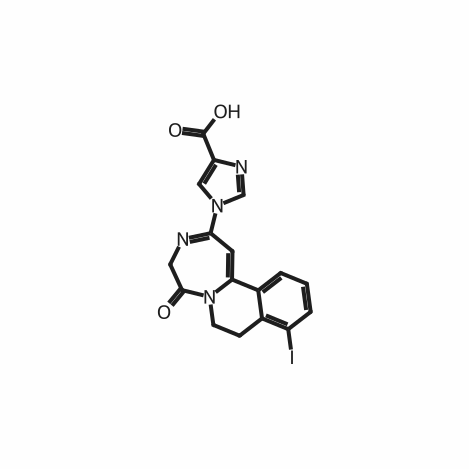 O=C(O)c1cn(C2=NCC(=O)N3CCc4c(I)cccc4C3=C2)cn1